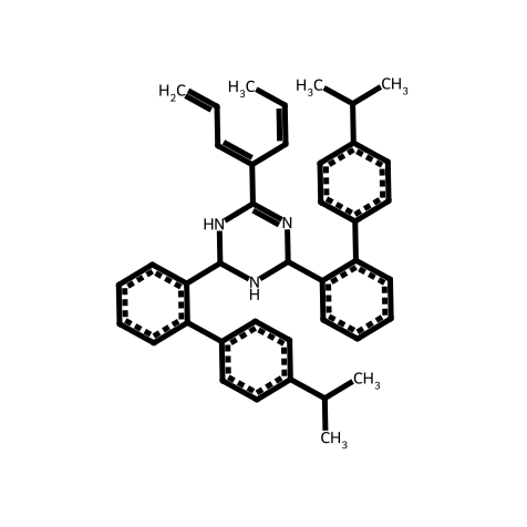 C=C/C=C(\C=C/C)C1=NC(c2ccccc2-c2ccc(C(C)C)cc2)NC(c2ccccc2-c2ccc(C(C)C)cc2)N1